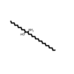 CCCCCCCCCCCCCCCCC(N)C(O)CCCCCCCCC